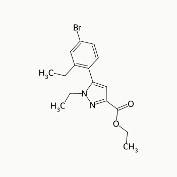 CCOC(=O)c1cc(-c2ccc(Br)cc2CC)n(CC)n1